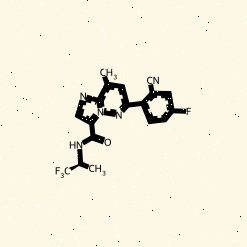 Cc1cc(-c2ccc(F)cc2C#N)nn2c(C(=O)N[C@@H](C)C(F)(F)F)cnc12